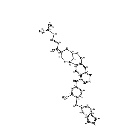 Cc1cc(Nc2ncnc3cc4c(nc23)N2CCN(C(=O)/C=C/CN(C)C)CC(CO4)C2)ccc1Oc1ccn2ncnc2c1